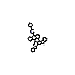 C=C(/C=C\C(=C)c1c2c(c(C(=C)c3cc4c(cc3-c3cc5ccccc5s3)sc3ccccc34)c3ccccc13)=CCCC=2)C1=CC=CCC1